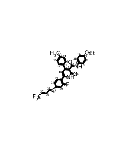 CCOc1ccc(NC(=O)c2c(-c3ccc(C)cc3)cc(-c3ccc(OCCCC(F)(F)F)cc3F)[nH]c2=O)cc1